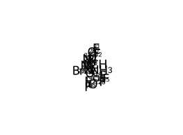 CC(NC(=O)c1cc(OC(F)F)cc(C(F)(F)F)c1)c1nc(Br)nn1-c1ncc(OC(F)F)cn1